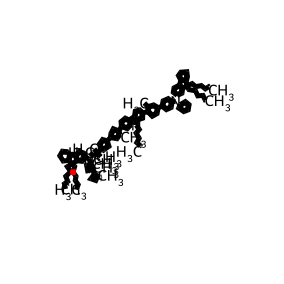 CCCCCCn1c2cc(-c3ccc(-c4ccc(N(c5ccccc5)c5ccc6c(c5)C(CCCCCC)(CCCCCC)c5ccccc5-6)cc4)cc3C)ccc2c2ccc(-c3ccc(-c4ccc(C(C)(C)C(C)(C)N(c5ccc6c(c5)C(CCCCCC)(CCCCCC)C5=C6C=CCC5)C5(C)C=C[C@@]5(C)C5=CC[C@H]5C)cc4)cc3C)cc21